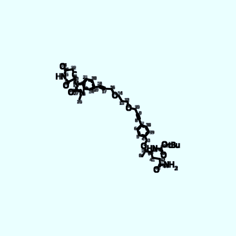 C[C@@H](OCc1ccc(C#CCOCCCOCC#Cc2ccc3c(c2)n(C)c(=O)n3C2CCC(=O)NC2=O)cc1)[C@H](CCC(N)=O)NC(=O)OC(C)(C)C